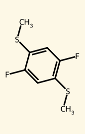 CSc1cc(F)c(SC)cc1F